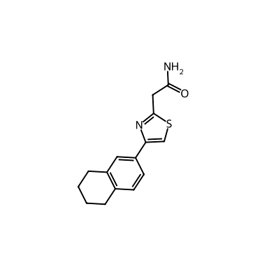 NC(=O)Cc1nc(-c2ccc3c(c2)CCCC3)cs1